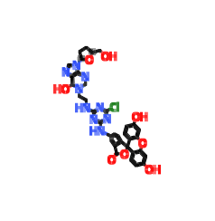 O=C1OC2(c3ccc(O)cc3Oc3cc(O)ccc32)c2ccc(Nc3nc(Cl)nc(NCCN4CN=c5c(ncn5[C@H]5CC[C@@H](CO)O5)=C4O)n3)cc21